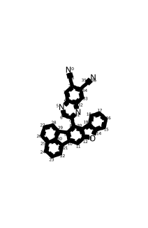 N#Cc1cc2ncc(-c3c4c(cc5oc6ccccc6c35)-c3cccc5cccc-4c35)nc2cc1C#N